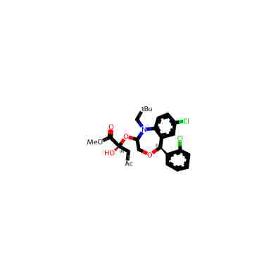 COC(=O)[C@@](O)(CC(C)=O)OC1CO[C@H](c2ccccc2Cl)c2cc(Cl)ccc2N1CC(C)(C)C